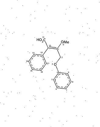 COC(COc1ccccc1)=C(C(=O)O)c1ccccc1